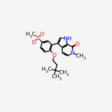 Cn1ccc2c(-c3cc(S(C)(=O)=O)ccc3OCCC(C)(C)C)c[nH]c2c1=O